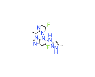 Cc1cc(Nc2nc3c(cc2F)ncn3[C@@H](C)c2ncc(F)cn2)n[nH]1